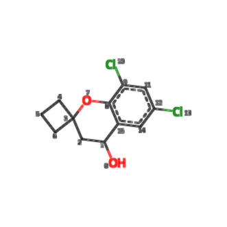 OC1CC2(CCC2)Oc2c(Cl)cc(Cl)cc21